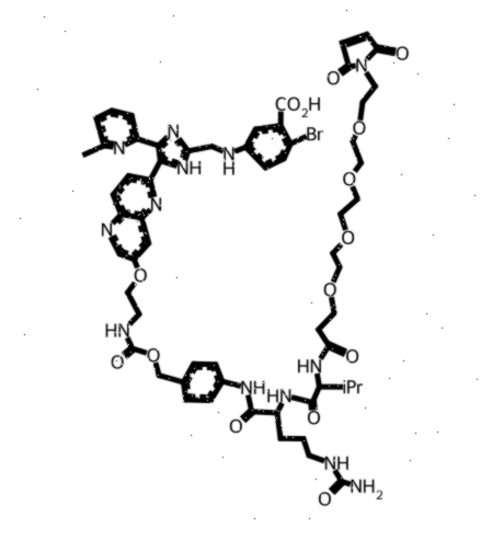 Cc1cccc(-c2nc(CNc3ccc(Br)c(C(=O)O)c3)[nH]c2-c2ccc3ncc(OCCNC(=O)OCc4ccc(NC(=O)C(CCCNC(N)=O)NC(=O)C(NC(=O)CCOCCOCCOCCOCCN5C(=O)C=CC5=O)C(C)C)cc4)cc3n2)n1